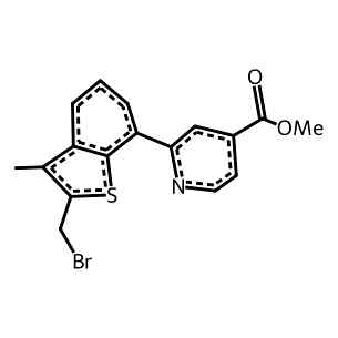 COC(=O)c1ccnc(-c2cccc3c(C)c(CBr)sc23)c1